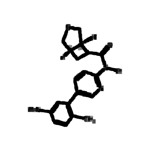 CCN(C(=O)C1C[C@@H]2COC[C@H]12)c1ccc(-c2cc(NC)ccc2C)cn1